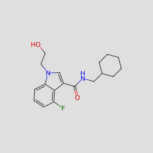 O=C(NCC1CCCCC1)c1cn(CCO)c2cccc(F)c12